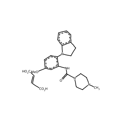 COc1ccc(N2CCc3ccccc32)c(NC(=O)N2CCN(C)CC2)c1.O=C(O)C=CC(=O)O